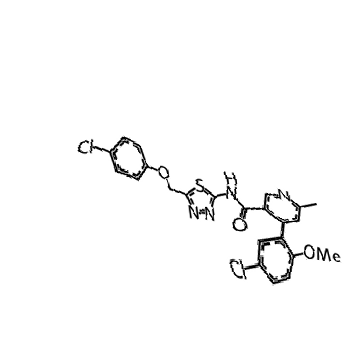 COc1ccc(Cl)cc1-c1cc(C)ncc1C(=O)Nc1nnc(COc2ccc(Cl)cc2)s1